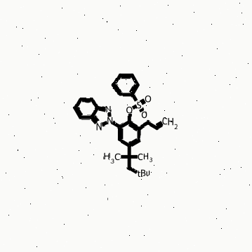 C=CCc1cc(C(C)(C)CC(C)(C)C)cc(-n2nc3ccccc3n2)c1OS(=O)(=O)c1ccccc1